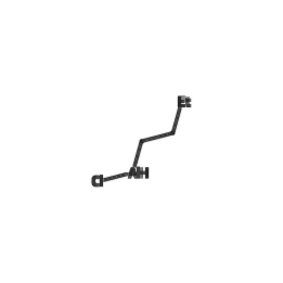 CCC[CH2][AlH][Cl]